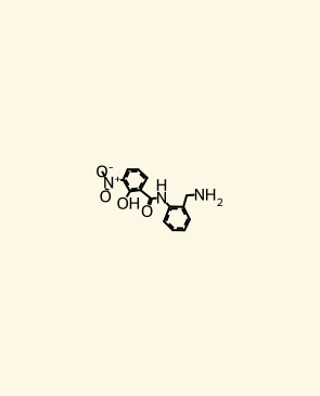 NCc1ccccc1NC(=O)c1cccc([N+](=O)[O-])c1O